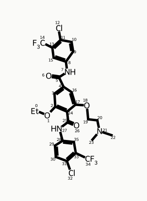 CCOc1cc(C(=O)Nc2ccc(Cl)c(C(F)(F)F)c2)cc(OCCN(C)C)c1C(=O)Nc1ccc(Cl)c(C(F)(F)F)c1